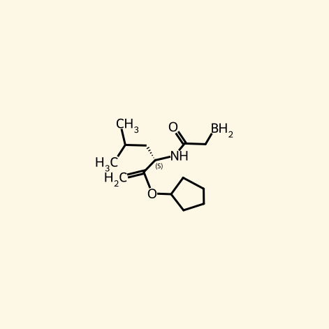 BCC(=O)N[C@@H](CC(C)C)C(=C)OC1CCCC1